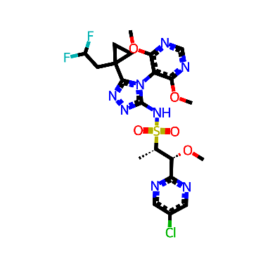 COc1ncnc(OC)c1-n1c(NS(=O)(=O)[C@@H](C)[C@H](OC)c2ncc(Cl)cn2)nnc1C1(CC(F)F)CC1